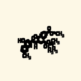 CCOC(=O)N1CCN(C(=O)C(CCC(=O)OC(C)(C)C)NC(=O)c2cc(O)c3ccc(C)cc3n2)CC1